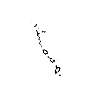 C=CC(=O)OCC(CCCCCCOc1ccc(OC(=O)c2ccc(OC(=O)c3ccc(OCCCCCCCCCCC)cc3)c(C)c2)cc1)OC(=O)C=C